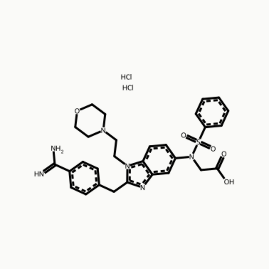 Cl.Cl.N=C(N)c1ccc(Cc2nc3cc(N(CC(=O)O)S(=O)(=O)c4ccccc4)ccc3n2CCN2CCOCC2)cc1